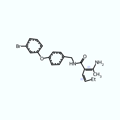 CC/C=C\C(C(=O)NCc1ccc(Oc2cccc(Br)c2)cc1)=C(/C)N